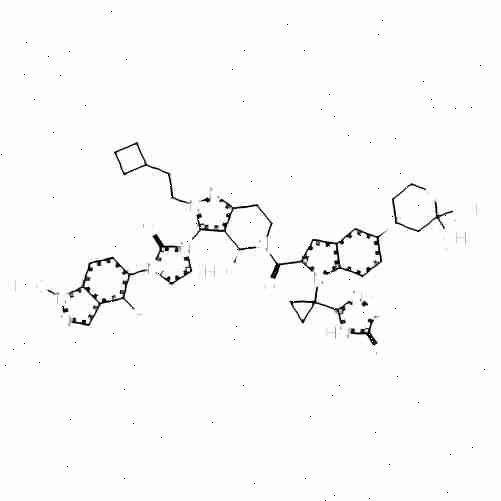 C[C@H]1c2c(nn(CCC3CCC3)c2-n2ccn(-c3ccc4c(cnn4C)c3F)c2=O)CCN1C(=O)c1cc2cc([C@H]3CCOC(C)(C)C3)ccc2n1C1(c2noc(=O)[nH]2)CC1